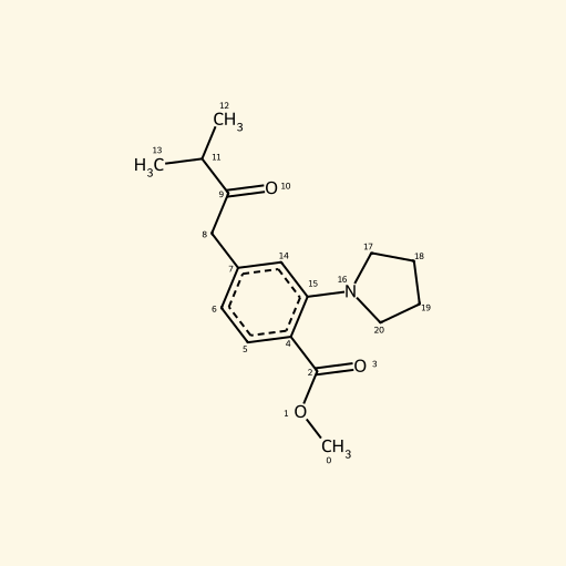 COC(=O)c1ccc(CC(=O)C(C)C)cc1N1CCCC1